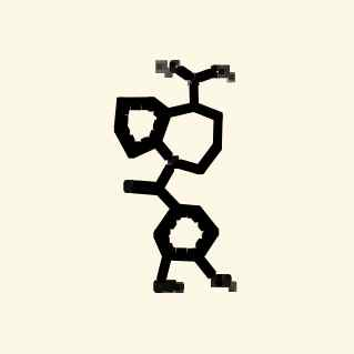 COc1cc(C(=O)N2CCCC(N(C)C)c3ccccc32)ccc1[N+](=O)[O-]